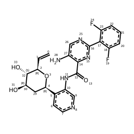 C=C[C@H]1O[C@@H](c2ccncc2NC(=O)c2nc(-c3c(F)cccc3F)ncc2N)C[C@@H](O)[C@@H]1O